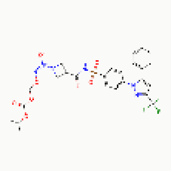 Cc1ccc(-c2cc(C(F)(F)F)nn2-c2ccc(S(=O)(=O)NC(=O)C3CN(/[N+]([O-])=N\OCOC(=O)OC(C)C)C3)cc2)cc1